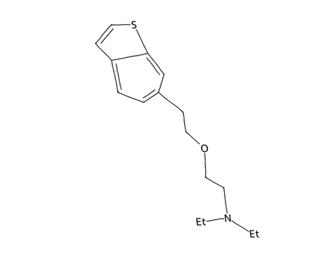 CCN(CC)CCOCCc1ccc2ccsc2c1